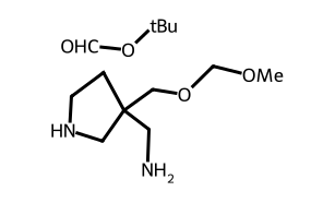 CC(C)(C)OC=O.COCOCC1(CN)CCNC1